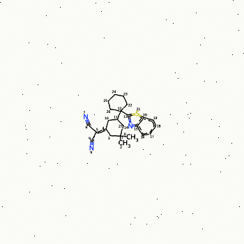 CC1(C)CC(=C(C#N)C#N)CC(C2(c3nc4ccccc4s3)CCCCC2)C1